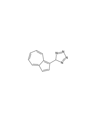 c1ccc2ccc(C3N=NN=N3)c-2cc1